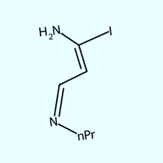 CCC/N=C\C=C(/N)I